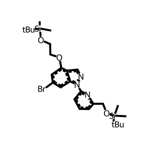 CC(C)(C)[Si](C)(C)OCCOc1cc(Br)cc2c1cnn2-c1cccc(CO[Si](C)(C)C(C)(C)C)n1